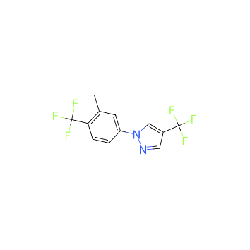 Cc1cc(-n2cc(C(F)(F)F)cn2)ccc1C(F)(F)F